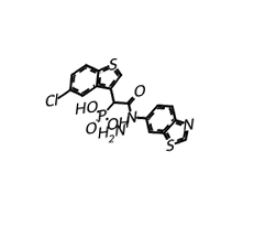 NN(C(=O)C(c1csc2ccc(Cl)cc12)P(=O)(O)O)c1ccc2ncsc2c1